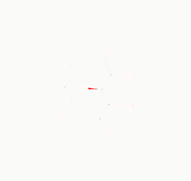 CCCCO.O=C[C@H](O)[C@H](O)[C@H](O)CO